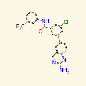 Nc1ncc2cc(-c3cc(Cl)cc(C(=O)Nc4cccc(C(F)(F)F)c4)c3)ccc2n1